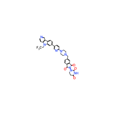 O=C1CCN(N2C(=O)c3ccc(CN4CCN(c5ccc(-c6ccc7c8cnccc8n(CC(F)(F)F)c7c6)cn5)CC4)cc3C2=O)C(=O)N1